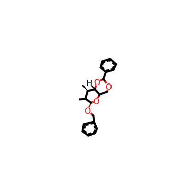 CC1[C@H](OCc2ccccc2)OC2COC(c3ccccc3)O[C@H]2[C@@H]1C